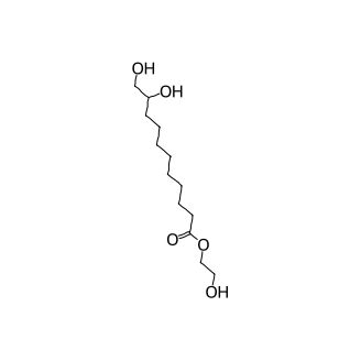 O=C(CCCCCCCCC(O)CO)OCCO